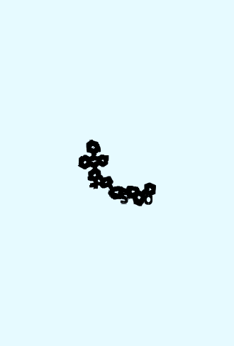 CC1(C)c2ccc(-c3c4ccccc4c(-c4ccccc4)c4ccccc34)cc2-c2ccc(-c3ccc4sc5c(ccc6c5ccc5oc7ccccc7c56)c4c3)cc21